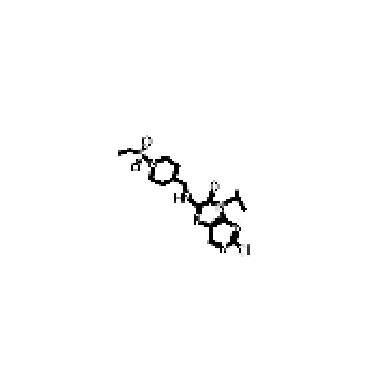 CCS(=O)(=O)N1CCC(CNc2nc3cnc(Cl)nc3n(C(C)C)c2=O)CC1